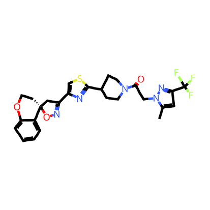 Cc1cc(C(F)(F)F)nn1CC(=O)N1CCC(c2nc(C3=NO[C@]4(CCOc5ccccc54)C3)cs2)CC1